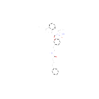 CC(C)c1cccc(C(C)C)c1CC(=O)N=S(N)(=O)c1ccc(CCNC(=O)CCCc2ccccc2)cc1